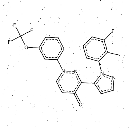 Cc1c(F)cccc1-n1nccc1-c1nn(-c2cccc(OC(F)(F)F)c2)ccc1=O